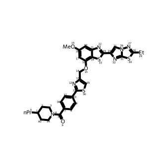 CCCC1CCN(C(=O)c2ccc(-c3nc(COc4cc(OC)cc5nc(-c6cn7nc(CC)sc7n6)sc45)cs3)cc2)CC1